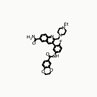 CCN1CCN(Cc2nc3ccc(C(N)=O)cc3cc2-c2cc(NC(=O)c3ccc4c(c3)OCCO4)ccc2F)CC1